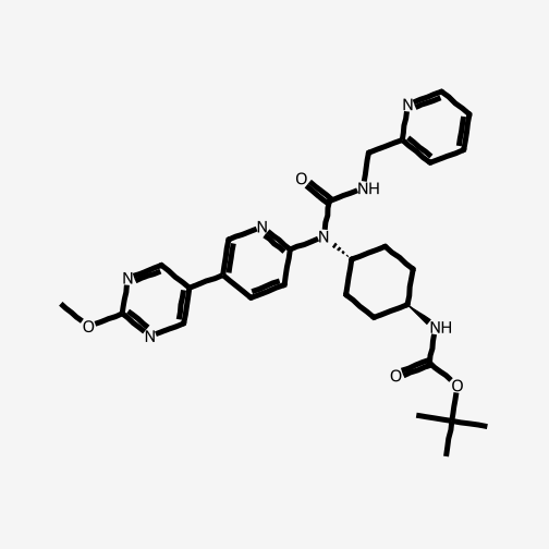 COc1ncc(-c2ccc(N(C(=O)NCc3ccccn3)[C@H]3CC[C@H](NC(=O)OC(C)(C)C)CC3)nc2)cn1